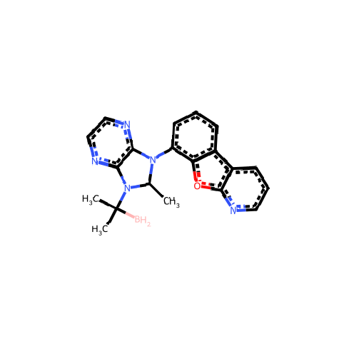 BC(C)(C)N1c2nccnc2N(c2cccc3c2oc2ncccc23)C1C